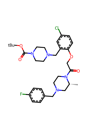 C[C@@H]1CN(Cc2ccc(F)cc2)CCN1C(=O)COc1ccc(Cl)cc1CN1CCN(C(=O)OC(C)(C)C)CC1